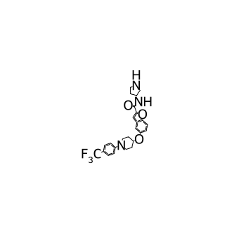 O=C(N[C@@H]1CCNC1)c1cc2cc(OC3CCN(c4ccc(C(F)(F)F)cc4)CC3)ccc2o1